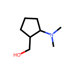 CN(C)C1CCCC1CO